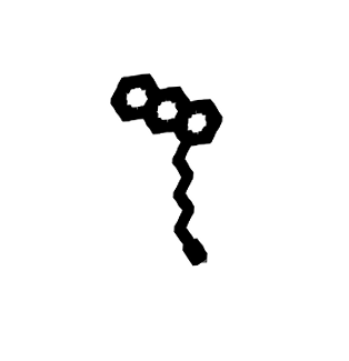 [C]#CCCCCCc1cccc2cc3ccccc3cc12